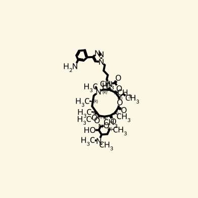 CC[C@H]1OC(=O)[C@H](C)C(=O)[C@H](C)[C@@H](O[C@@H]2O[C@H](C)CC(N(C)C)C2O)[C@](C)(OC)C[C@@H](C)CN(C)[C@H](C)[C@H]2N(CCCCn3cc(-c4cccc(N)c4)nn3)C(=O)O[C@]12C